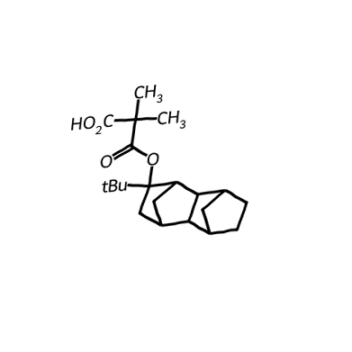 CC(C)(C(=O)O)C(=O)OC1(C(C)(C)C)CC2CC1C1C3CCC(C3)C21